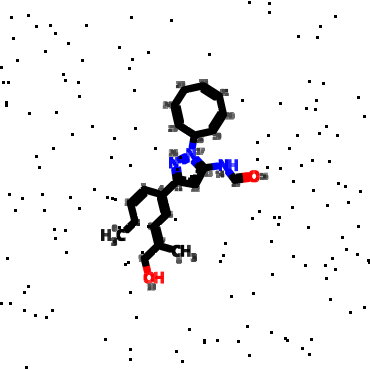 CC\C=C/C(=C\C=C(/C)CO)c1cc(NC=O)n(C2/C=C\C=C/C/C=C\2)n1